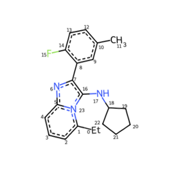 CCc1cccc2nc(-c3cc(C)ccc3F)c(NC3CCCC3)n12